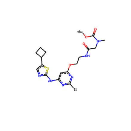 CCc1nc(Nc2ncc(C3CCC3)s2)cc(OCCNC(=O)CN(C)C(=O)OC(C)(C)C)n1